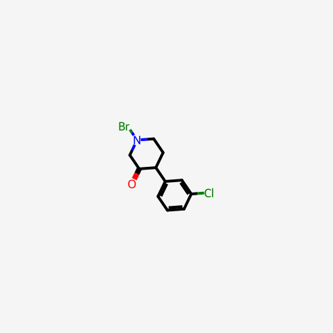 O=C1CN(Br)CCC1c1cccc(Cl)c1